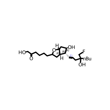 CCCCC(O)(CF)C/C=C/[C@@H]1[C@H]2CC(CCCCC(=O)CO)O[C@@H]2C[C@H]1O